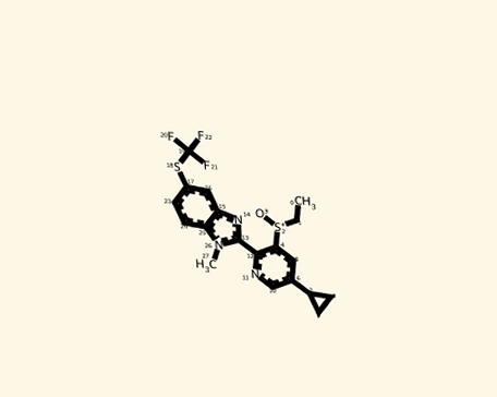 CC[S+]([O-])c1cc(C2CC2)cnc1-c1nc2cc(SC(F)(F)F)ccc2n1C